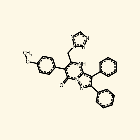 COc1ccc(-c2c(Cn3ncnn3)[nH]c3c(-c4ccccc4)c(-c4ccccc4)nn3c2=O)cc1